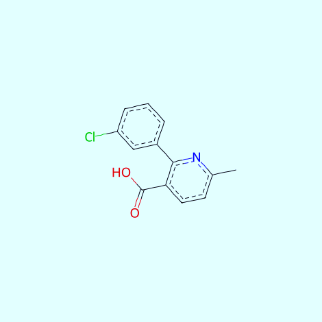 Cc1ccc(C(=O)O)c(-c2cccc(Cl)c2)n1